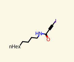 CCCCCCCCCCNC(=O)C#CI